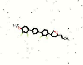 C/C=C/C1CCC(c2ccc(-c3ccc(-c4ccc(OC)c(F)c4F)cc3)c(F)c2F)CO1